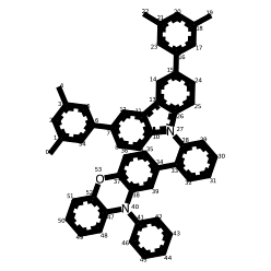 Cc1cc(C)cc(-c2ccc3c(c2)c2cc(-c4cc(C)cc(C)c4)ccc2n3-c2ccccc2-c2ccc3c(c2)N(c2ccccc2)c2ccccc2O3)c1